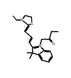 CCC(=O)C[N+]1=C(/C=C/C=C2\SCCN2CC)C(C)(C)c2ccccc21